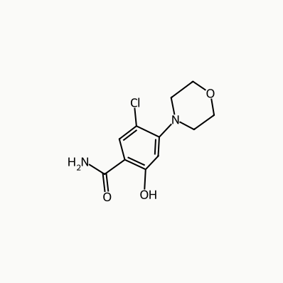 NC(=O)c1cc(Cl)c(N2CCOCC2)cc1O